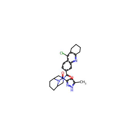 Cc1cc(C(=O)N2C3CCCC2CN(C(=O)c2ccc4c(Cl)c5c(nc4c2)CCCC5)C3)n[nH]1